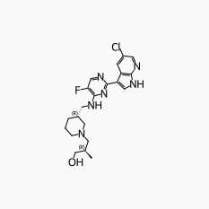 C[C@@H](CO)CN1CCC[C@H](CNc2nc(-c3c[nH]c4ncc(Cl)cc34)ncc2F)C1